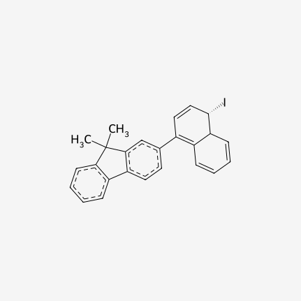 CC1(C)c2ccccc2-c2ccc(C3=C4C=CC=CC4[C@@H](I)C=C3)cc21